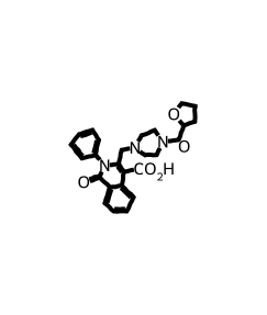 O=C(O)c1c(CN2CCN(C(=O)C3CCCO3)CC2)n(-c2ccccc2)c(=O)c2ccccc12